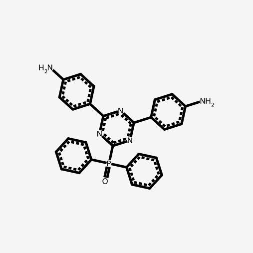 Nc1ccc(-c2nc(-c3ccc(N)cc3)nc(P(=O)(c3ccccc3)c3ccccc3)n2)cc1